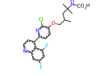 CC(COc1ccc(-c2ccnc3cc(F)cc(F)c23)nc1Cl)CC(C)(C)NC(=O)O